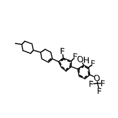 CC1CCC(C2CC=C(c3ccc(-c4ccc(OC(F)(F)F)c(F)c4O)c(F)c3F)CC2)CC1